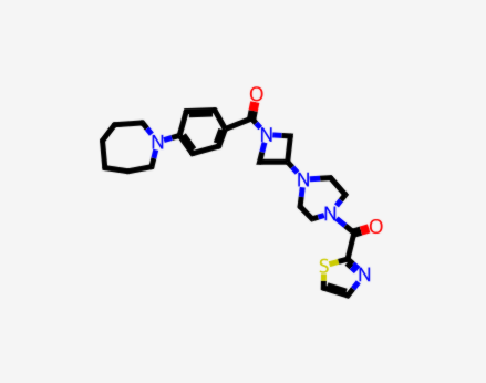 O=C(c1ccc(N2CCCCCC2)cc1)N1CC(N2CCN(C(=O)c3nccs3)CC2)C1